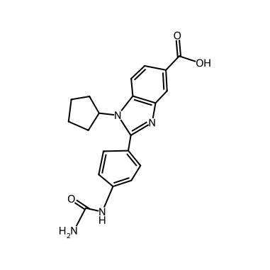 NC(=O)Nc1ccc(-c2nc3cc(C(=O)O)ccc3n2C2CCCC2)cc1